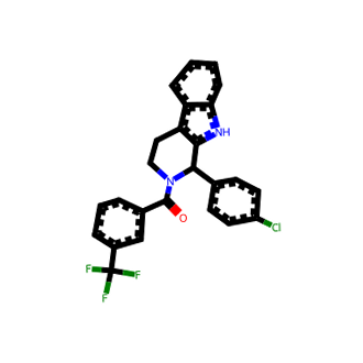 O=C(c1cccc(C(F)(F)F)c1)N1CCc2c([nH]c3ccccc23)C1c1ccc(Cl)cc1